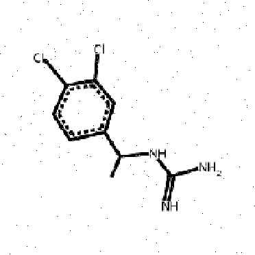 CC(NC(=N)N)c1ccc(Cl)c(Cl)c1